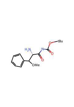 COC(c1ccccc1)[C@H](N)C(=O)[N]C(=O)OC(C)(C)C